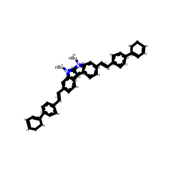 CCCCn1c2cc(/C=C/c3ccc(C4=CC=CCC4)cc3)ccc2c2c3ccc(/C=C/c4ccc(C5=CC=CCC5)cc4)cc3n(CCCC)c21